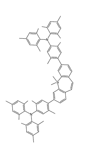 Cc1cc(C)c(N(c2cc(C)c(-c3ccc4c(c3)[Si](C)(C)c3cc(-c5cc(C)c(N(c6c(C)cc(C)cc6C)c6c(C)cc(C)cc6C)cc5C)ccc3C=C4)cc2C)c2c(C)cc(C)cc2C)c(C)c1